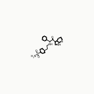 NS(=O)(=O)c1ccc(CCN[C@@H](C(=O)c2c[nH]c3ncccc23)c2ccccc2)cc1